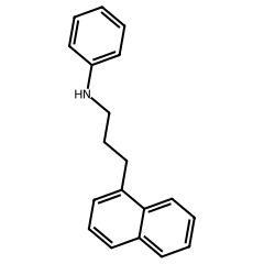 c1ccc(NCCCc2cccc3ccccc23)cc1